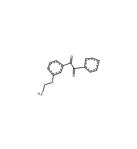 CCOc1cccc(C(=O)C(=O)c2ccccc2)c1